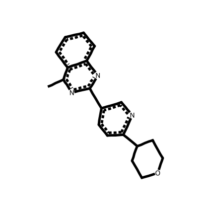 Cc1nc(-c2ccc(C3CCOCC3)nc2)nc2ccccc12